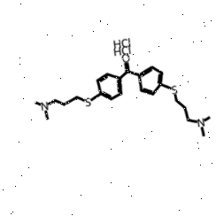 CN(C)CCCSc1ccc(C(=O)c2ccc(SCCCN(C)C)cc2)cc1.Cl.Cl